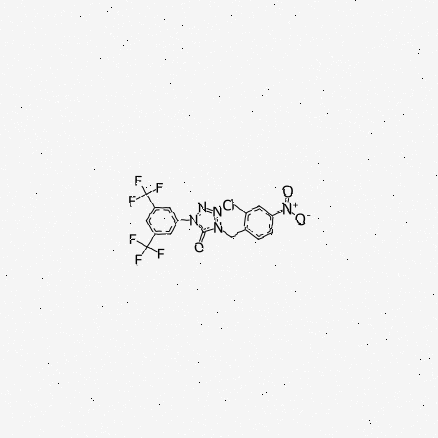 O=c1n(Cc2ccc([N+](=O)[O-])cc2Cl)nnn1-c1cc(C(F)(F)F)cc(C(F)(F)F)c1